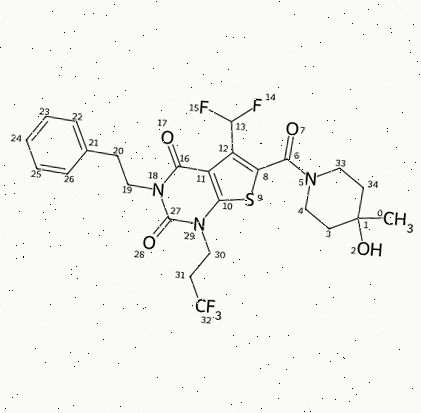 CC1(O)CCN(C(=O)c2sc3c(c2C(F)F)c(=O)n(CCc2ccccc2)c(=O)n3CCC(F)(F)F)CC1